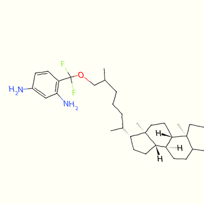 CC(CCCC(C)[C@H]1CC[C@H]2[C@@H]3CCC4CCCC[C@]4(C)[C@H]3CC[C@]12C)COC(F)(F)c1ccc(N)cc1N